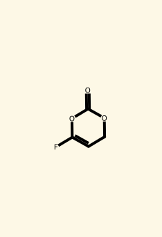 O=C1OCC=C(F)O1